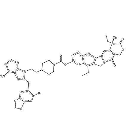 CCc1c2c(nc3ccc(OC(=O)N4CCC(CCn5c(Sc6cc7c(cc6Br)OCO7)nc6c(N)ncnc65)CC4)cc13)-c1cc3c(c(=O)n1C2)COC(=O)[C@@]3(O)CC